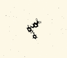 O=C(O)c1ccc(CC[C@H]2[C@@H](C=NOc3ccccc3)[C@H]3CC[C@@H]2O3)cc1